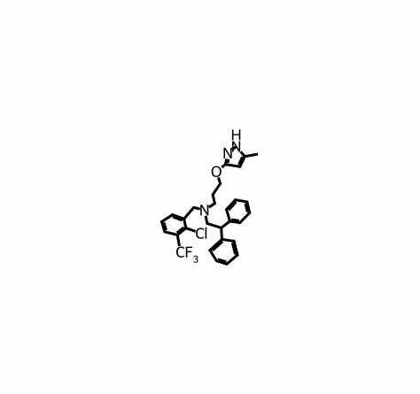 Cc1cc(OCCCN(Cc2cccc(C(F)(F)F)c2Cl)CC(c2ccccc2)c2ccccc2)n[nH]1